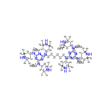 CCCCN(c1nc(N(CCCC)C2CC(C)(C)NC(C)(C)C2)nc(N(CCCCCCN(c2nc(N(CCCC)C3CC(C)(C)NC(C)(C)C3)nc(N(CCCC)C3CC(C)(C)NC(C)(CCC)C3)n2)C2CC(C)(C)NC(C)(C)C2)C2CC(C)(C)NC(C)(C)C2)n1)C1CC(C)(C)NC(C)(C)C1